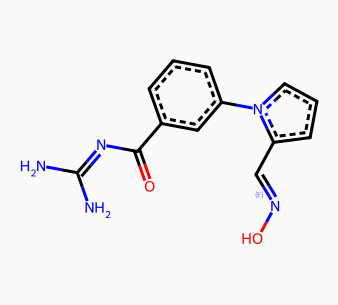 NC(N)=NC(=O)c1cccc(-n2cccc2/C=N/O)c1